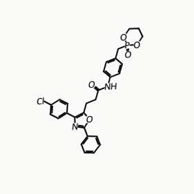 O=C(CCc1oc(-c2ccccc2)nc1-c1ccc(Cl)cc1)Nc1ccc(CP2(=O)OCCCO2)cc1